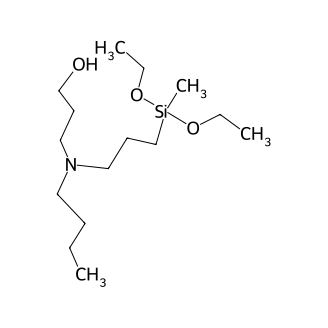 CCCCN(CCCO)CCC[Si](C)(OCC)OCC